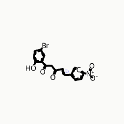 O=C(/C=C/c1ccc([N+](=O)[O-])cc1)CC(=O)c1cc(Br)ccc1O